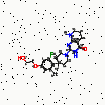 CCc1cc(OCCO)cc(F)c1C1(C)CCN(c2nc3c(c(=O)[nH]2)CCCN3C)CC1